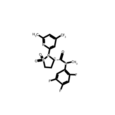 Cc1cc(C(F)(F)F)cc(N2[C@H](C(=O)N(C)c3cc(F)c(F)cc3F)CCS2(=O)=O)n1